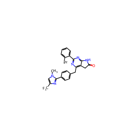 CC(C)c1ccccc1-c1nc(Cc2ccc(-c3nc(C(F)(F)F)cn3C)cc2)c2c(n1)NC(=O)C2